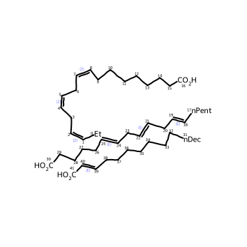 CC/C=C\C/C=C\C/C=C\CCCCCCCC(=O)O.CCCCC/C=C/C/C=C/C/C=C/CCCCC(=O)O.CCCCCCCCCCCCCCCCC/C=C/C(=O)O